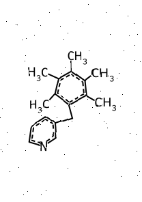 Cc1c(C)c(C)c(Cc2cccnc2)c(C)c1C